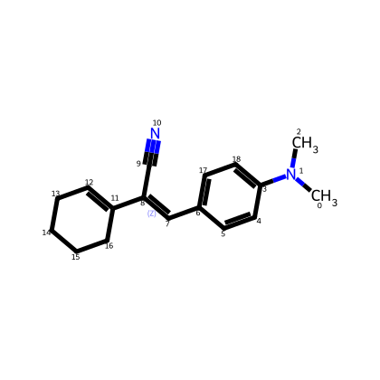 CN(C)c1ccc(/C=C(\C#N)C2=CCCCC2)cc1